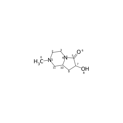 CN1CCN2C(=O)C(O)CC2C1